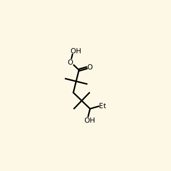 CCC(O)C(C)(C)CC(C)(C)C(=O)OO